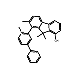 Cc1ccc2c(c1-c1cc(-c3ccccc3)cc[n+]1C)C(C)(C)c1c(C#N)cccc1-2